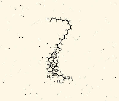 CCCCC/C=C\C/C=C\CCCCCCCC(=O)O[C@H]1CC[C@@]2(C)C(=CC[C@@]3(C)[C@@H]4CC[C@H]([C@H](C)CCCC(C)C)[C@@]4(C)CC[C@@H]32)C1